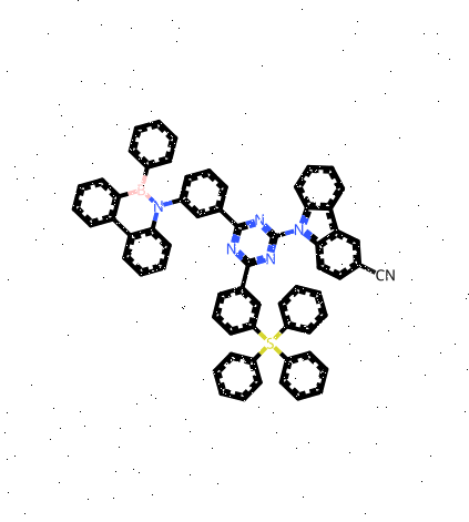 N#Cc1ccc2c(c1)c1ccccc1n2-c1nc(-c2cccc(N3B(c4ccccc4)c4ccccc4-c4ccccc43)c2)nc(-c2cccc(S(c3ccccc3)(c3ccccc3)c3ccccc3)c2)n1